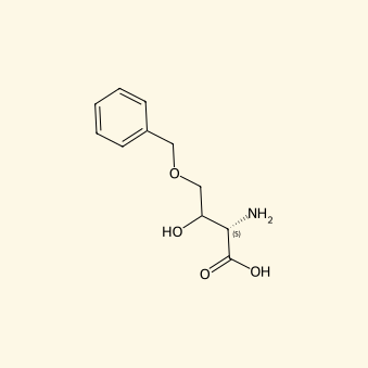 N[C@H](C(=O)O)C(O)COCc1ccccc1